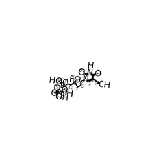 C#Cc1cn([C@H]2CC[C@@](F)(COP(=O)(O)OP(=O)(O)O)O2)c(=O)[nH]c1=O